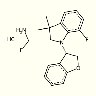 CC1(C)CN([C@@H]2COc3ccccc32)c2c(F)cccc21.Cl.NCF